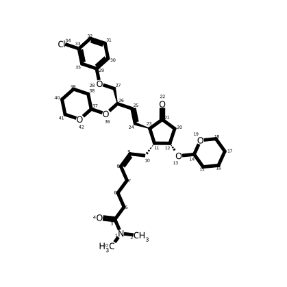 CN(C)C(=O)CCC/C=C\C[C@H]1[C@@H](OC2CCCCO2)CC(=O)[C@@H]1/C=C/[C@H](COc1cccc(Cl)c1)OC1CCCCO1